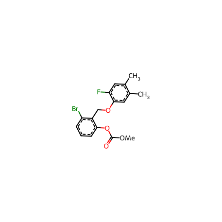 COC(=O)Oc1cccc(Br)c1COc1cc(C)c(C)cc1F